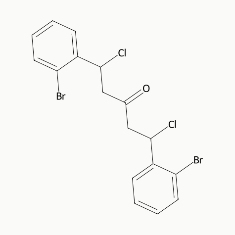 O=C(CC(Cl)c1ccccc1Br)CC(Cl)c1ccccc1Br